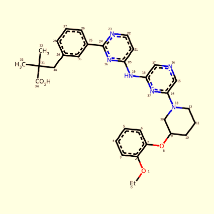 CCOc1ccccc1OC1CCCN(c2cncc(Nc3ccnc(-c4cccc(CC(C)(C)C(=O)O)c4)n3)n2)C1